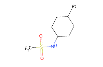 CCC1CCC(NS(=O)(=O)C(F)(F)F)CC1